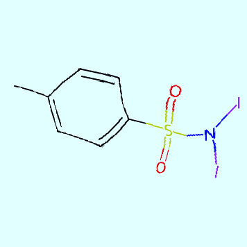 Cc1ccc(S(=O)(=O)N(I)I)cc1